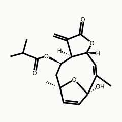 C=C1C(=O)O[C@@H]2/C=C(/C)[C@@]3(O)C=C[C@@](C)(C[C@@H](OC(=O)C(C)C)[C@@H]12)O3